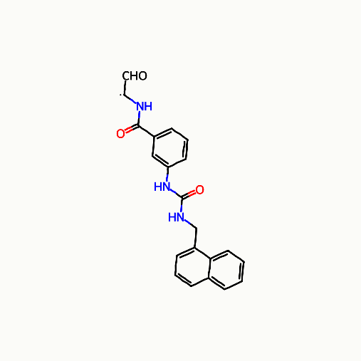 O=C[CH]NC(=O)c1cccc(NC(=O)NCc2cccc3ccccc23)c1